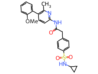 COc1ccccc1-c1ccc(NC(=O)Cc2ccc(S(=O)(=O)NC3CC3)cc2)nc1C